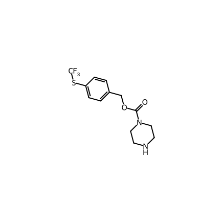 O=C(OCc1ccc(SC(F)(F)F)cc1)N1CCNCC1